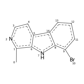 Cc1nccc2c1[nH]c1c(Br)cccc12